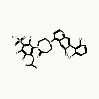 Cc1cccc(C)c1-c1cc2nccc(N3CCC(=O)N(c4c(F)c(S(C)(=O)=O)c(F)c(F)c4OC(F)F)CC3)c2cc1Cl